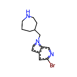 Brc1cc2ccn(CC3CCCNCC3)c2cn1